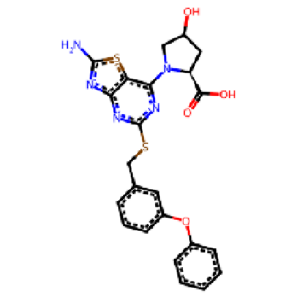 Nc1nc2nc(SCc3cccc(Oc4ccccc4)c3)nc(N3CC(O)C[C@H]3C(=O)O)c2s1